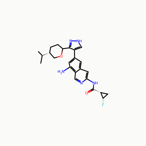 CC(C)[C@@H]1CCC(c2n[nH]cc2-c2cc(N)c3cnc(NC(=O)[C@@H]4C[C@@H]4F)cc3c2)OC1